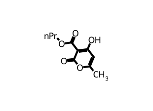 CCCOC(=O)c1c(O)cc(C)oc1=O